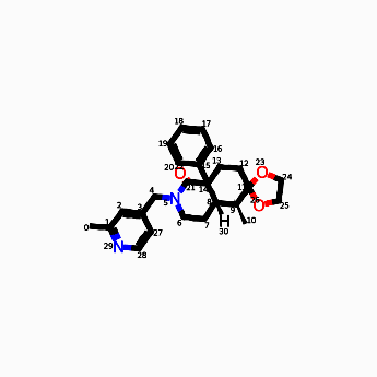 Cc1cc(CN2CC[C@H]3[C@H](C)C4(CCC3(c3ccccc3)C2=O)OCCO4)ccn1